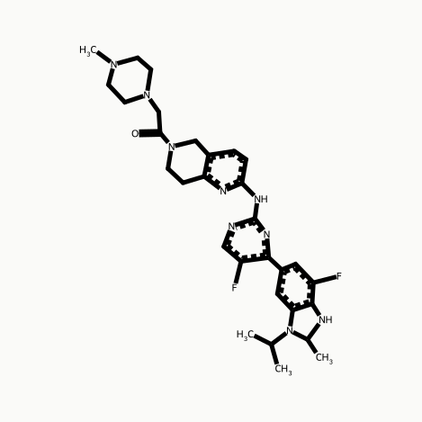 CC(C)N1c2cc(-c3nc(Nc4ccc5c(n4)CCN(C(=O)CN4CCN(C)CC4)C5)ncc3F)cc(F)c2NC1C